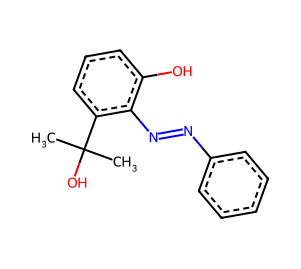 CC(C)(O)c1cccc(O)c1N=Nc1ccccc1